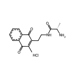 CC1=C(CCNC(=O)[C@H](C)N)C(=O)c2ccccc2C1=O.Cl